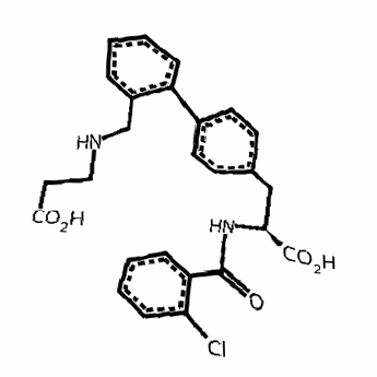 O=C(O)CCNCc1ccccc1-c1ccc(C[C@H](NC(=O)c2ccccc2Cl)C(=O)O)cc1